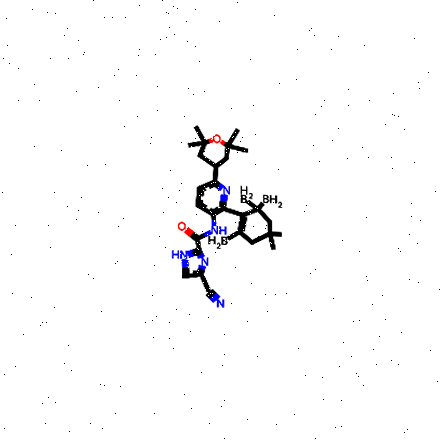 BC1=C(c2nc(C3CC(C)(C)OC(C)(C)C3)ccc2NC(=O)c2nc(C#N)c[nH]2)C(B)(B)CC(C)(C)C1